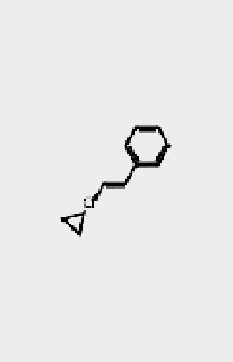 C1CC1.ClC=Cc1ccccc1